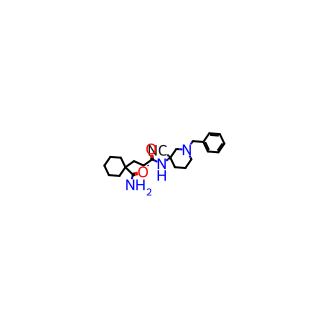 N#CC1(NC(=O)[CH]CC2(C(N)=O)CCCCC2)CCCN(Cc2ccccc2)C1